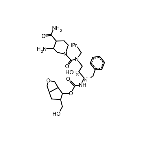 CC(C)CN(C[C@@H](O)[C@H](Cc1ccccc1)NC(=O)OC1C(CO)CC2COCC21)C(=O)N1CCC(C(N)=O)C(N)C1